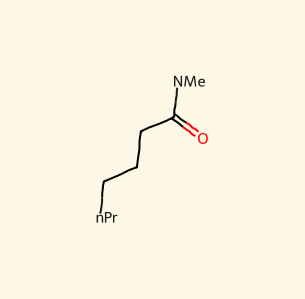 [CH2]CCCCCC(=O)NC